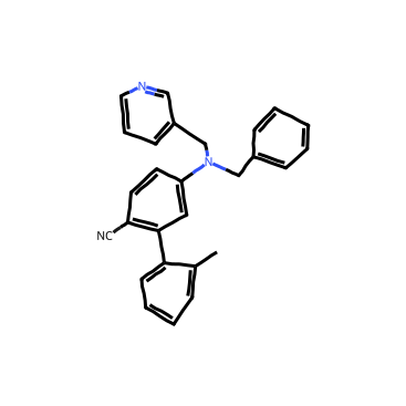 Cc1ccccc1-c1cc(N(Cc2ccccc2)Cc2cccnc2)ccc1C#N